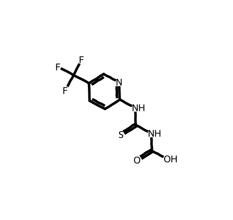 O=C(O)NC(=S)Nc1ccc(C(F)(F)F)cn1